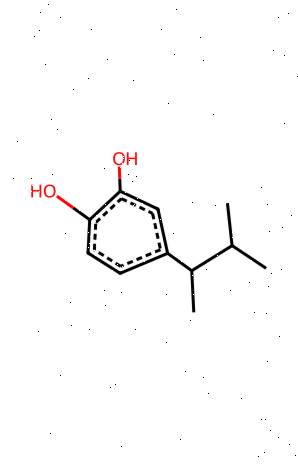 CC(C)C(C)c1ccc(O)c(O)c1